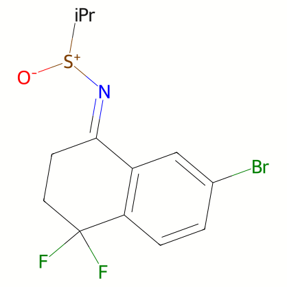 CC(C)[S+]([O-])/N=C1\CCC(F)(F)c2ccc(Br)cc21